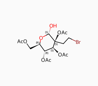 CC(=O)OC[C@H]1O[C@H](O)[C@@](CCBr)(OC(C)=O)[C@@H](OC(C)=O)[C@@H]1OC(C)=O